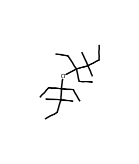 CCC(C)(C)C(CC)(CC)OC(CC)(CC)C(C)(C)CC